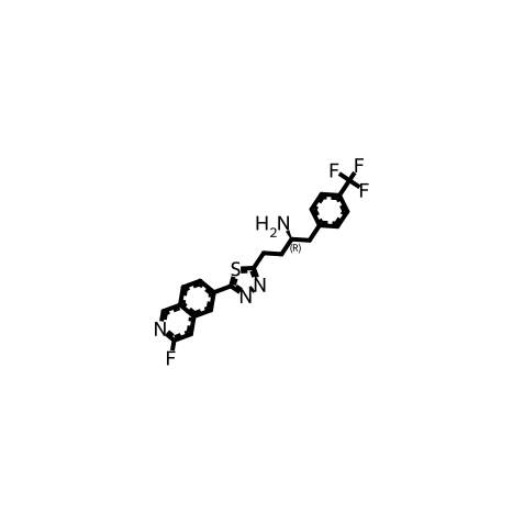 N[C@H](CCc1nnc(-c2ccc3cnc(F)cc3c2)s1)Cc1ccc(C(F)(F)F)cc1